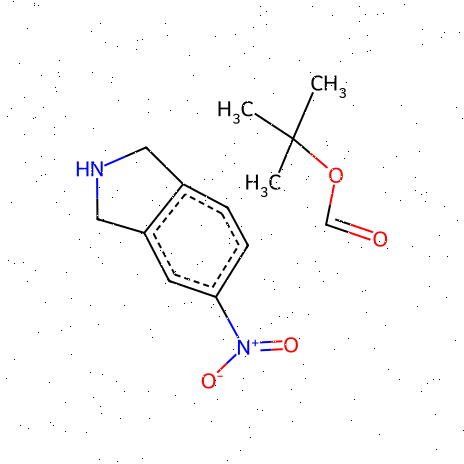 CC(C)(C)OC=O.O=[N+]([O-])c1ccc2c(c1)CNC2